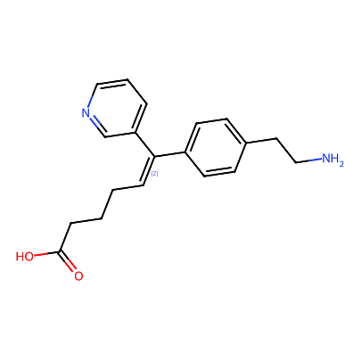 NCCc1ccc(/C(=C/CCCC(=O)O)c2cccnc2)cc1